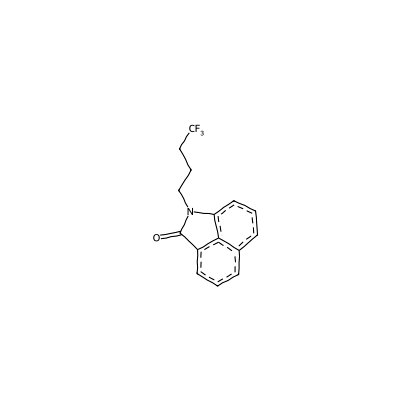 O=C1c2cccc3cccc(c23)N1CCCC(F)(F)F